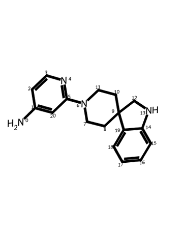 Nc1ccnc(N2CCC3(CC2)CNc2ccccc23)c1